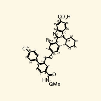 CONC(=O)c1ccc(-c2ccc(Cl)cc2)c(COc2ccc(-c3nc4cc(C(=O)O)ccc4n3C3CCCCC3)c(F)c2)c1